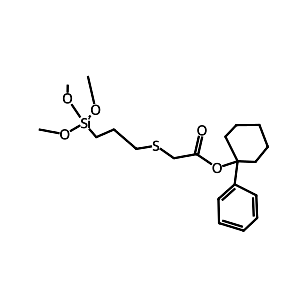 CO[Si](CCCSCC(=O)OC1(c2ccccc2)CCCCC1)(OC)OC